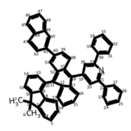 CC1(C)c2ccccc2-c2c(-c3c4ccccc4c(-c4cc(-c5ccccc5)nc(-c5ccccc5)c4)c4ccc(-c5ccc6ccccc6c5)cc34)cccc21